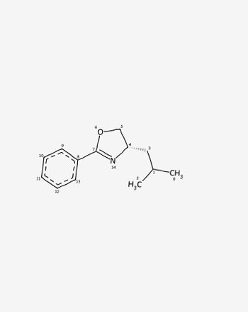 CC(C)C[C@H]1COC(c2ccccc2)=N1